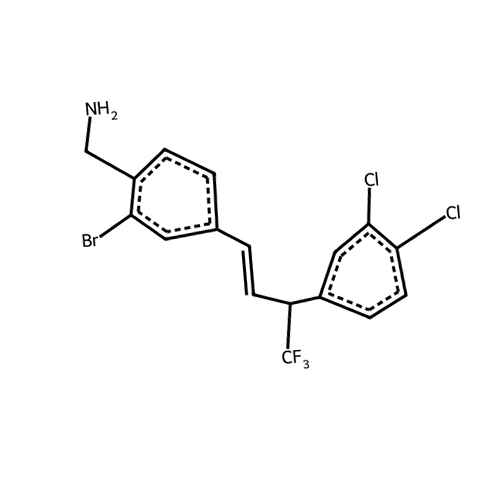 NCc1ccc(/C=C/C(c2ccc(Cl)c(Cl)c2)C(F)(F)F)cc1Br